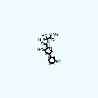 BC(O)(NC(=O)c1ncc(-c2cccc(Cl)c2)cc1O)C(=O)OC